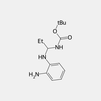 CCC(NC(=O)OC(C)(C)C)Nc1ccccc1N